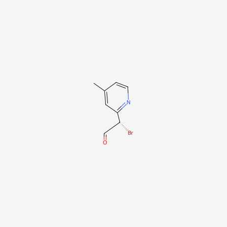 Cc1ccnc([C@H](Br)C=O)c1